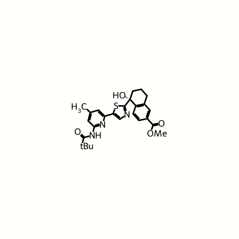 COC(=O)c1ccc2c(c1)CCC[C@]2(O)c1ncc(-c2cc(C)cc(NC(=O)C(C)(C)C)n2)s1